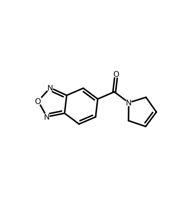 O=C(c1ccc2nonc2c1)N1CC=CC1